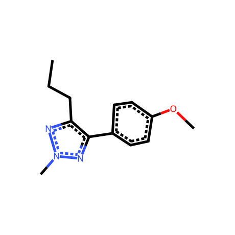 CCCc1nn(C)nc1-c1ccc(OC)cc1